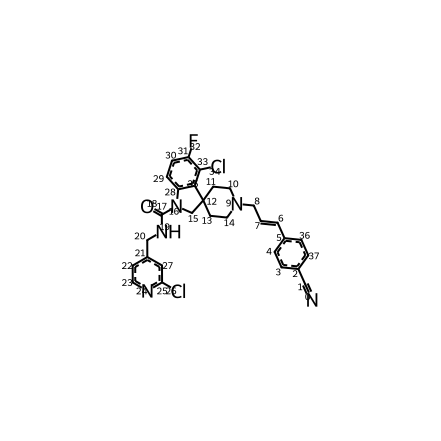 N#Cc1ccc(/C=C/CN2CCC3(CC2)CN(C(=O)NCc2ccnc(Cl)c2)c2ccc(F)c(Cl)c23)cc1